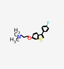 CN(C)CCCOc1ccc2c(-c3ccc(F)cc3)csc2c1